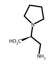 NC[C@@H](C(=O)O)N1CCCC1